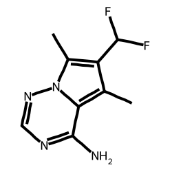 Cc1c(C(F)F)c(C)n2ncnc(N)c12